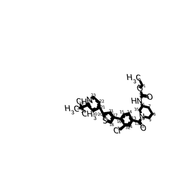 CCOC(=O)NC1CCCN(C(=O)c2ccc(-c3csc(-c4ccnc(C(C)(C)C)c4)c3)c(Cl)c2)C1